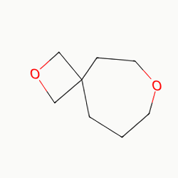 C1COCCC2(C1)COC2